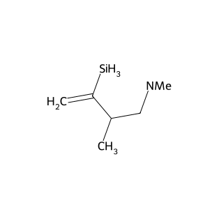 C=C([SiH3])C(C)CNC